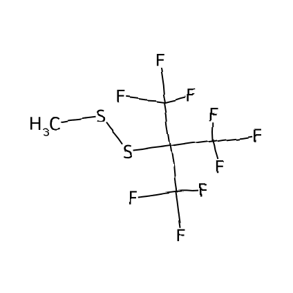 CSSC(C(F)(F)F)(C(F)(F)F)C(F)(F)F